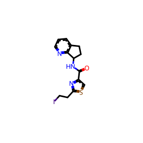 O=C(NC1CCc2cccnc21)c1csc(CCI)n1